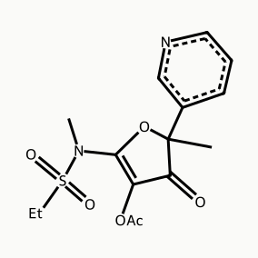 CCS(=O)(=O)N(C)C1=C(OC(C)=O)C(=O)C(C)(c2cccnc2)O1